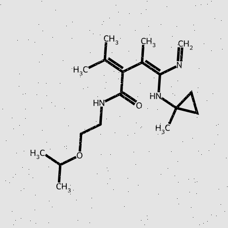 C=N/C(NC1(C)CC1)=C(\C)C(C(=O)NCCOC(C)C)=C(C)C